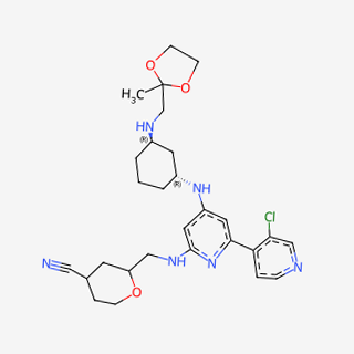 CC1(CN[C@@H]2CCC[C@@H](Nc3cc(NCC4CC(C#N)CCO4)nc(-c4ccncc4Cl)c3)C2)OCCO1